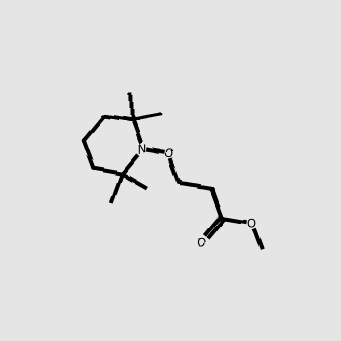 COC(=O)CCON1C(C)(C)CCCC1(C)C